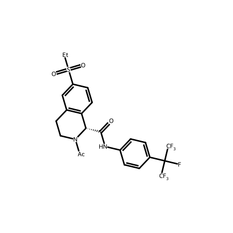 CCS(=O)(=O)c1ccc2c(c1)CCN(C(C)=O)[C@H]2C(=O)Nc1ccc(C(F)(C(F)(F)F)C(F)(F)F)cc1